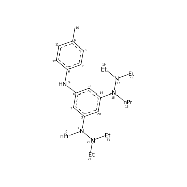 CCCN(c1cc(Nc2ccc(C)cc2)cc(N(CCC)N(CC)CC)c1)N(CC)CC